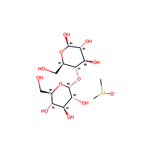 C[S+](C)[O-].OC[C@H]1O[C@H](O[C@H]2[C@H](O)[C@@H](O)[C@H](O)O[C@@H]2CO)[C@H](O)[C@@H](O)[C@@H]1O